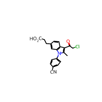 Cc1c(C(=O)CCl)c2ccc(CCC(=O)O)cc2n1-c1ccc(C#N)cc1